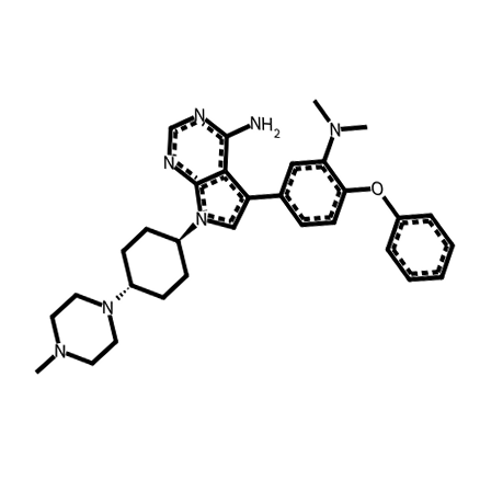 CN1CCN([C@H]2CC[C@H](n3cc(-c4ccc(Oc5ccccc5)c(N(C)C)c4)c4c(N)ncnc43)CC2)CC1